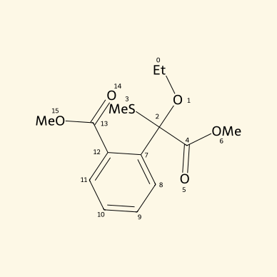 CCOC(SC)(C(=O)OC)c1ccccc1C(=O)OC